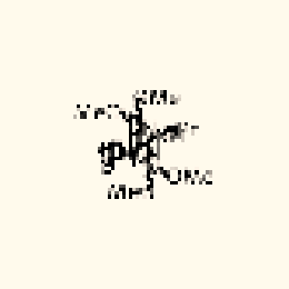 COCCN(CCOC)c1nc(N2CCN(C)C(=O)C2)c2nc(N(CCOC)CCOC)nc(NCC(C)C)c2n1